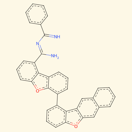 N=C(/N=C(\N)c1cccc2oc3c(-c4cccc5oc6cc7ccccc7cc6c45)cccc3c12)c1ccccc1